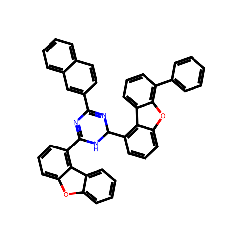 c1ccc(-c2cccc3c2oc2cccc(C4N=C(c5ccc6ccccc6c5)N=C(c5cccc6oc7ccccc7c56)N4)c23)cc1